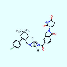 CC1(C)CCC(CN2C[C@H]3C[C@@H]2CN3C(=O)c2ccc3c(c2)CN(C2CCC(=O)NC2=O)C3=O)=C(c2ccc(F)cc2)C1